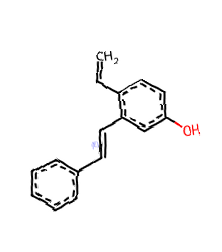 C=Cc1ccc(O)cc1/C=C/c1ccccc1